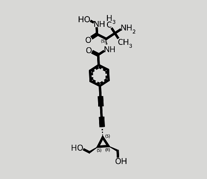 CC(C)(N)[C@H](NC(=O)c1ccc(C#CC#C[C@@H]2[C@@H](CO)[C@H]2CO)cc1)C(=O)NO